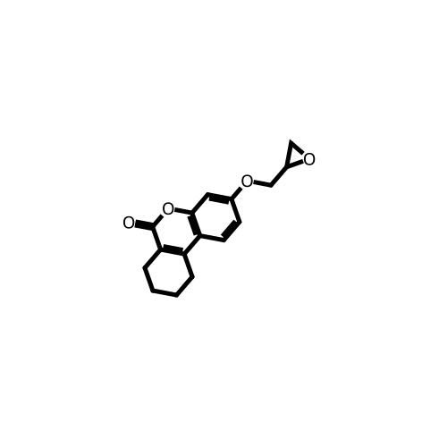 O=c1oc2cc(OCC3CO3)ccc2c2c1CCCC2